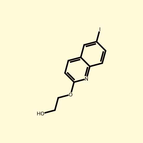 OCCOc1ccc2cc(I)ccc2n1